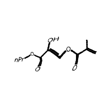 C=C(C)C(=O)OC=C(O)C(=O)OCCC